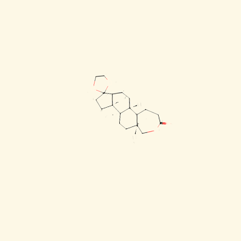 C[C@]12CCC(=O)OC[C@@H]1CC[C@@H]1[C@@H]2CC[C@@]2(C)[C@H]1CCC21OCCO1